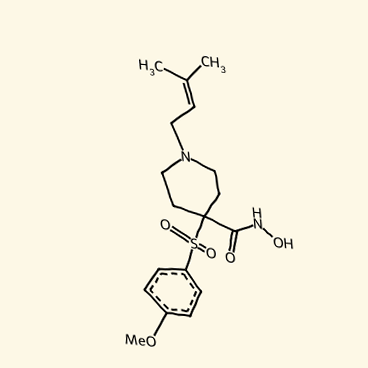 COc1ccc(S(=O)(=O)C2(C(=O)NO)CCN(CC=C(C)C)CC2)cc1